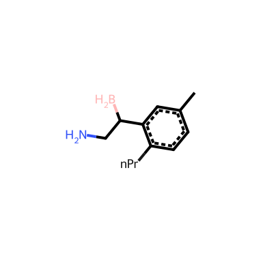 BC(CN)c1cc(C)ccc1CCC